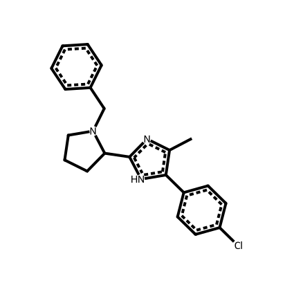 Cc1nc(C2CCCN2Cc2ccccc2)[nH]c1-c1ccc(Cl)cc1